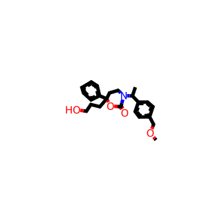 COCc1ccc(C(C)N2CCC(CCCO)(c3ccccc3)OC2=O)cc1